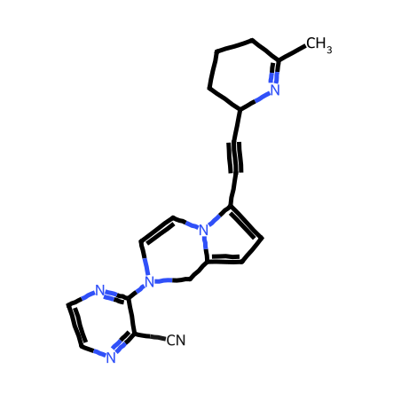 CC1=NC(C#Cc2ccc3n2C=CN(c2nccnc2C#N)C3)CCC1